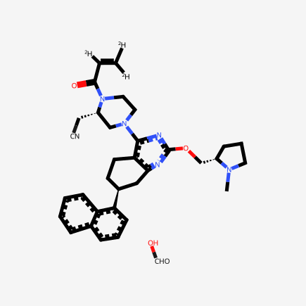 O=CO.[2H]C([2H])=C([2H])C(=O)N1CCN(c2nc(OC[C@@H]3CCCN3C)nc3c2CC[C@H](c2cccc4ccccc24)C3)C[C@@H]1CC#N